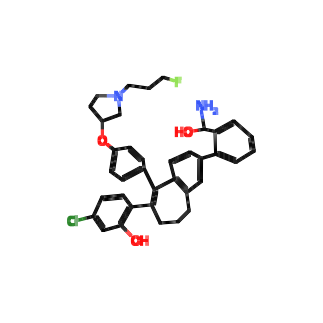 NC(O)c1ccccc1-c1ccc2c(c1)CCCC(c1ccc(Cl)cc1O)=C2c1ccc(OC2CCN(CCCF)C2)cc1